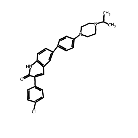 CC(C)N1CCN(c2ccc(-c3ccc4[nH]c(=O)c(-c5ccc(Cl)cc5)cc4c3)cc2)CC1